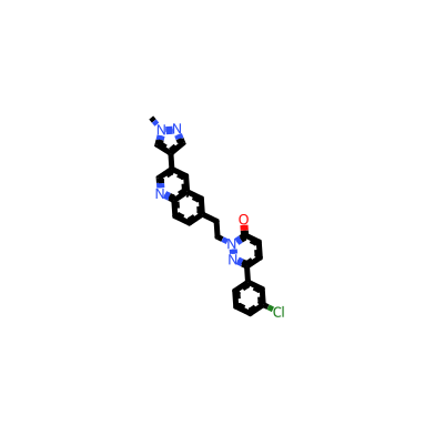 Cn1cc(-c2cnc3ccc(CCn4nc(-c5cccc(Cl)c5)ccc4=O)cc3c2)cn1